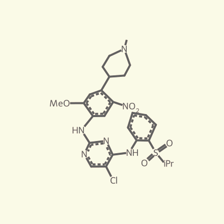 COc1cc(C2CCN(C)CC2)c([N+](=O)[O-])cc1Nc1ncc(Cl)c(Nc2ccccc2S(=O)(=O)C(C)C)n1